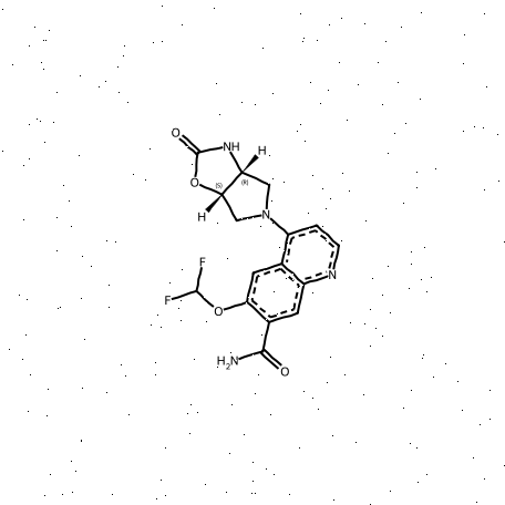 NC(=O)c1cc2nccc(N3C[C@@H]4OC(=O)N[C@@H]4C3)c2cc1OC(F)F